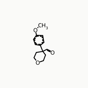 COc1ccc(C2(C=O)CCOCC2)cc1